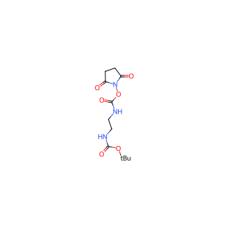 CC(C)(C)OC(=O)NCCNC(=O)ON1C(=O)CCC1=O